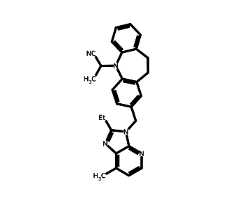 CCc1nc2c(C)ccnc2n1Cc1ccc2c(c1)CCc1ccccc1N2C(C)C#N